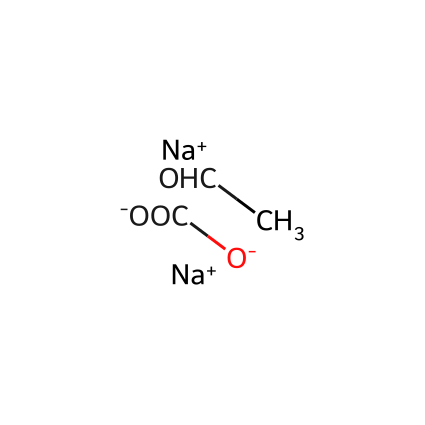 CC=O.O=C([O-])[O-].[Na+].[Na+]